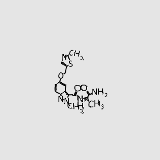 Cc1ncc(COc2ccc3nn(C)c(C(=O)N[C@H](C)C(N)=O)c3c2)s1